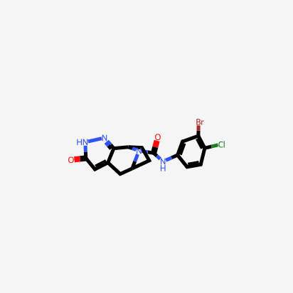 O=C(Nc1ccc(Cl)c(Br)c1)N1C2CCC1c1n[nH]c(=O)cc1C2